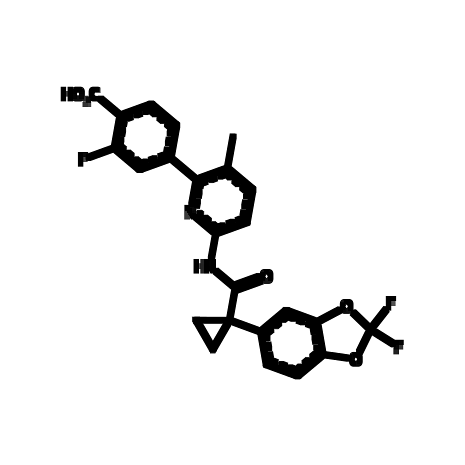 Cc1ccc(NC(=O)C2(c3ccc4c(c3)OC(F)(F)O4)CC2)nc1-c1ccc(C(=O)O)c(F)c1